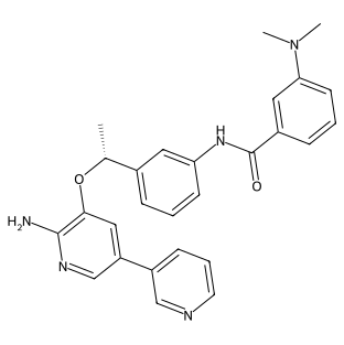 C[C@@H](Oc1cc(-c2cccnc2)cnc1N)c1cccc(NC(=O)c2cccc(N(C)C)c2)c1